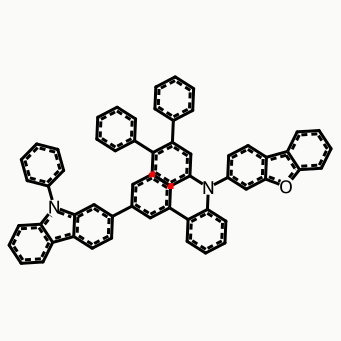 c1ccc(-c2ccc(N(c3ccc4c(c3)oc3ccccc34)c3ccccc3-c3cccc(-c4ccc5c6ccccc6n(-c6ccccc6)c5c4)c3)cc2-c2ccccc2)cc1